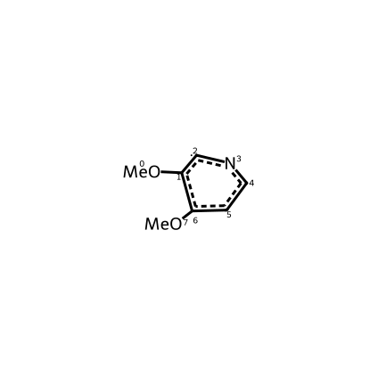 COc1[c]nccc1OC